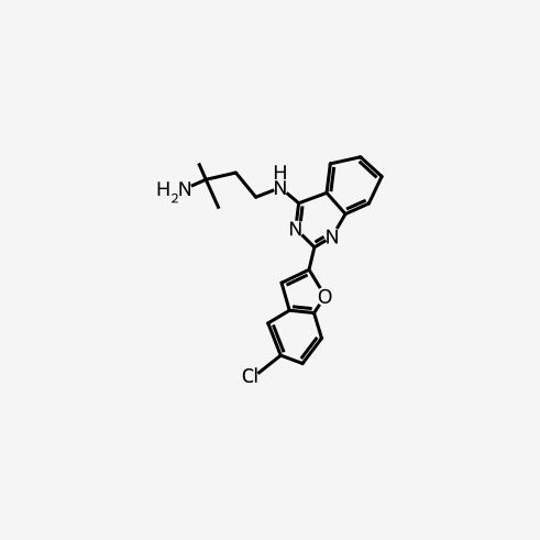 CC(C)(N)CCNc1nc(-c2cc3cc(Cl)ccc3o2)nc2ccccc12